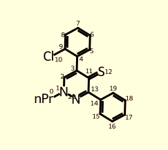 CCCn1cc(-c2ccccc2Cl)c(=S)c(-c2ccccc2)n1